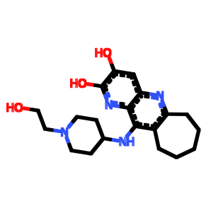 OCCN1CCC(Nc2c3c(nc4cc(O)c(O)nc24)CCCCC3)CC1